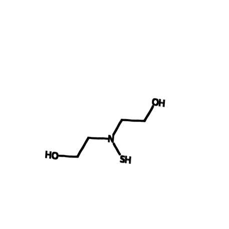 OCCN(S)CCO